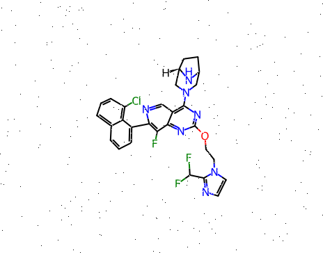 Fc1c(-c2cccc3cccc(Cl)c23)ncc2c(N3CC4CC[C@@H](C3)N4)nc(OCCn3ccnc3C(F)F)nc12